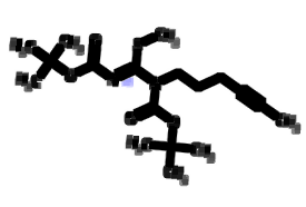 CC#CCCCN(C(=O)OC(C)(C)C)/C(=N/C(=O)OC(C)(C)C)SC